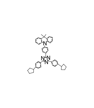 CC1(C)c2ccccc2N(c2ccc(-c3nc(-c4ccc(C5CCCC5)cc4)nc(-c4ccc(C5CCCC5)cc4)n3)cc2)c2ccccc21